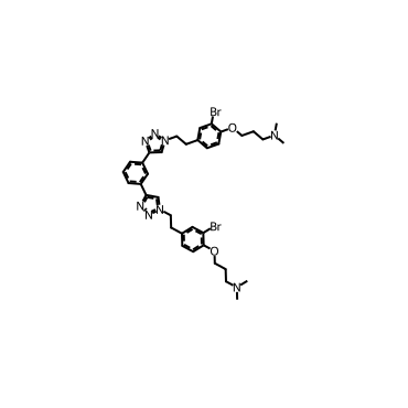 CN(C)CCCOc1ccc(CCn2cc(-c3cccc(-c4cn(CCc5ccc(OCCCN(C)C)c(Br)c5)nn4)c3)nn2)cc1Br